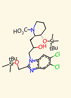 CC(C)(C)[Si](C)(C)OCc1nc2cc(Cl)c(Cl)cc2n1CC(O)C[C@@H]1[C@@H](O[Si](C)(C)C(C)(C)C)CCCN1C(=O)O